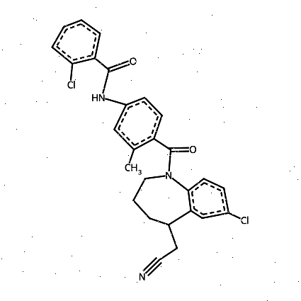 Cc1cc(NC(=O)c2ccccc2Cl)ccc1C(=O)N1CCCC(CC#N)c2cc(Cl)ccc21